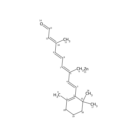 CC1=C(/C=C/C(C)=C/C=C/C(C)=C/C=O)C(C)(C)CCC1.[Zn]